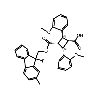 COc1ccccc1[C@H]1[C@H](C(=O)O)[C@H](c2ccccc2OC)[C@H]1C(=O)OCC1(F)c2ccccc2-c2ccc(C)cc21